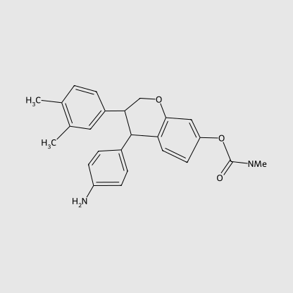 CNC(=O)Oc1ccc2c(c1)OCC(c1ccc(C)c(C)c1)C2c1ccc(N)cc1